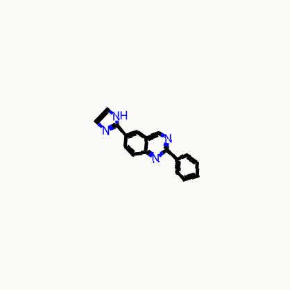 c1ccc(-c2ncc3cc(-c4ncc[nH]4)ccc3n2)cc1